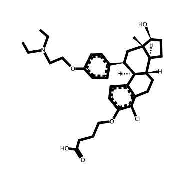 CCN(CC)CCOc1ccc([C@H]2C[C@]3(C)[C@@H](O)CC[C@H]3[C@@H]3CCc4c(ccc(OCCCC(=O)O)c4Cl)[C@H]32)cc1